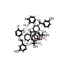 Cc1c(F)cccc1[C@@H]1C[C@](C(=O)[C@]2(C3CCCNC3)C[C@@H](c3cccc(F)c3C)[C@@H](C(=O)c3cccc(O)c3)CN2CC(C)(C)O)(C2CCCNC2)N(CC(C)(C)O)C[C@@H]1C(=O)c1cccc(O)c1